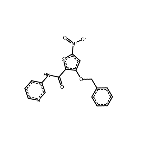 O=C(Nc1cccnc1)c1sc([N+](=O)[O-])cc1OCc1ccccc1